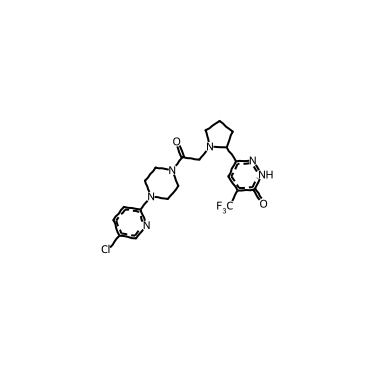 O=C(CN1CCCC1c1cc(C(F)(F)F)c(=O)[nH]n1)N1CCN(c2ccc(Cl)cn2)CC1